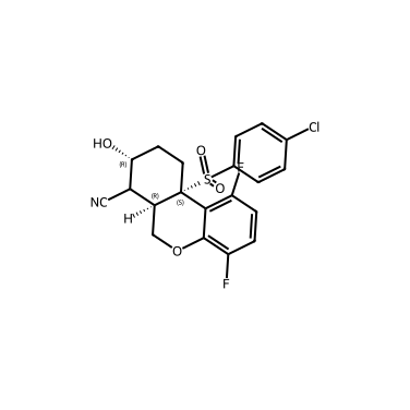 N#CC1[C@H](O)CC[C@@]2(S(=O)(=O)c3ccc(Cl)cc3)c3c(F)ccc(F)c3OC[C@@H]12